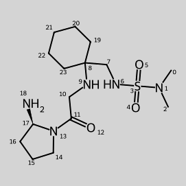 CN(C)S(=O)(=O)NCC1(NCC(=O)N2CCC[C@H]2N)CCCCC1